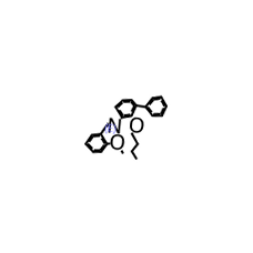 CCCCOc1c(/N=C/c2ccccc2OC)cccc1-c1ccccc1